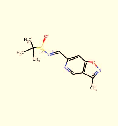 Cc1noc2cc(/C=N/[S@+]([O-])C(C)(C)C)ncc12